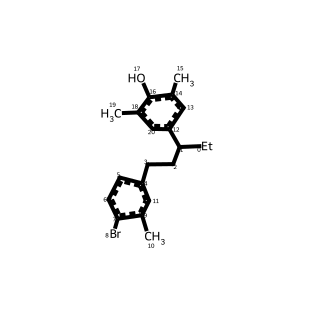 CCC(CCc1ccc(Br)c(C)c1)c1cc(C)c(O)c(C)c1